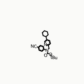 CC(C)(C)OC(=O)N(Cc1ccc(C2CCCCC2)cn1)c1ccc(C#N)cc1